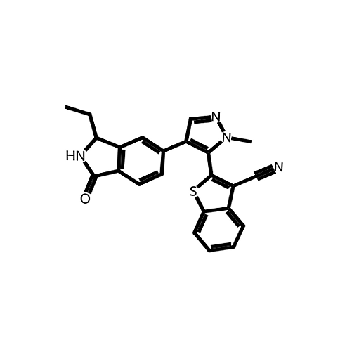 CCC1NC(=O)c2ccc(-c3cnn(C)c3-c3sc4ccccc4c3C#N)cc21